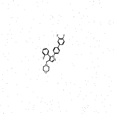 Fc1ccc(-c2ccc(-n3ncc(CN4CCOCC4)c3-c3ccccc3F)cc2)cc1F